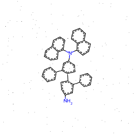 Nc1ccc(-c2ccc(N(c3cccc4ccccc34)c3cccc4ccccc34)cc2-c2ccccc2)c(-c2ccccc2)c1